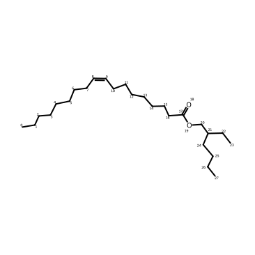 CCCCCCCC/C=C\CCCCCCCC(=O)OCC(CC)CCCC